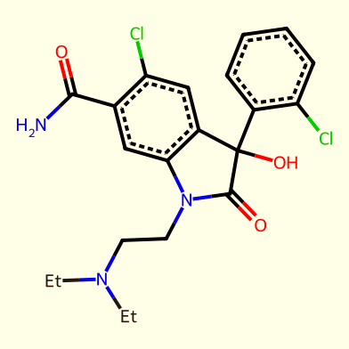 CCN(CC)CCN1C(=O)C(O)(c2ccccc2Cl)c2cc(Cl)c(C(N)=O)cc21